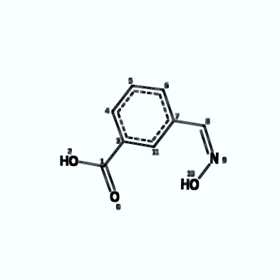 O=C(O)c1cccc(/C=N\O)c1